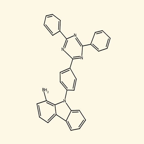 Bc1cccc2c3ccccc3n(-c3ccc(-c4nc(-c5ccccc5)nc(-c5ccccc5)n4)cc3)c12